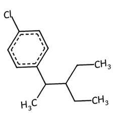 CCC(CC)C(C)c1ccc(Cl)cc1